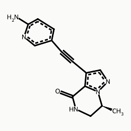 C[C@H]1CNC(=O)c2c(C#Cc3ccc(N)nc3)cnn21